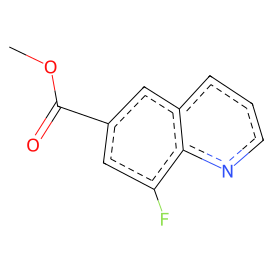 COC(=O)c1cc(F)c2ncccc2c1